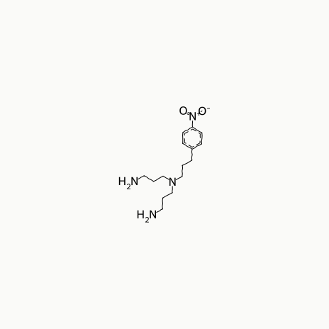 NCCCN(CCCN)CCCc1ccc([N+](=O)[O-])cc1